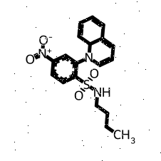 CCCCNS(=O)(=O)c1ccc([N+](=O)[O-])cc1N1C=CC=C2C=CC=CC21